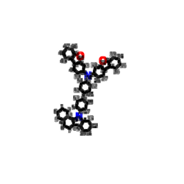 c1ccc2c(c1)ccc1c3ccccc3n(-c3ccc(-c4ccc(N(c5ccc6c(c5)oc5ccccc56)c5ccc6c(c5)oc5ccccc56)cc4)cc3)c21